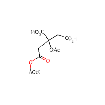 CCCCCCCCOC(=O)CC(CC(=O)O)(OC(C)=O)C(=O)O